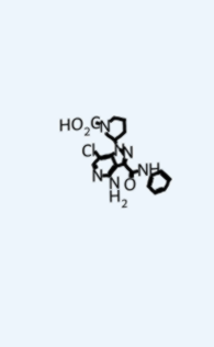 Nc1ncc(Cl)c2c1c(C(=O)Nc1ccccc1)nn2C1CCCN(C(=O)O)C1